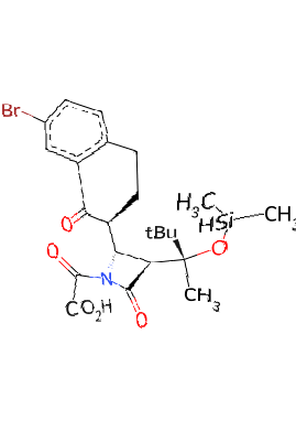 C[SiH](C)O[C@](C)([C@H]1C(=O)N(C(=O)C(=O)O)[C@@H]1[C@@H]1CCc2ccc(Br)cc2C1=O)C(C)(C)C